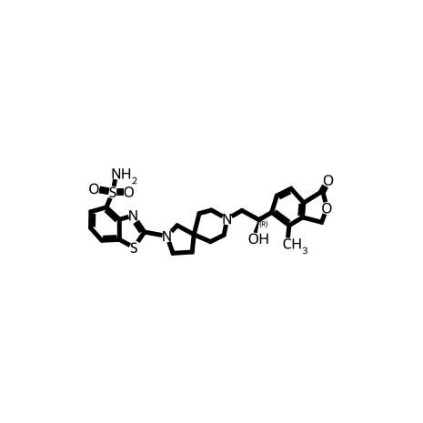 Cc1c([C@@H](O)CN2CCC3(CC2)CCN(c2nc4c(S(N)(=O)=O)cccc4s2)C3)ccc2c1COC2=O